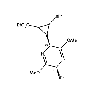 CCCC1C(C(=O)OCC)C1[C@@H]1N=C(OC)[C@H](C(C)C)N=C1OC